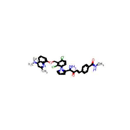 CNC(=O)c1ccc(/C=C/C(=O)C(N)c2cccn2-c2ccc(Cl)c(COc3cccc4c(N(C)C)cc(C)nc34)c2Cl)cc1